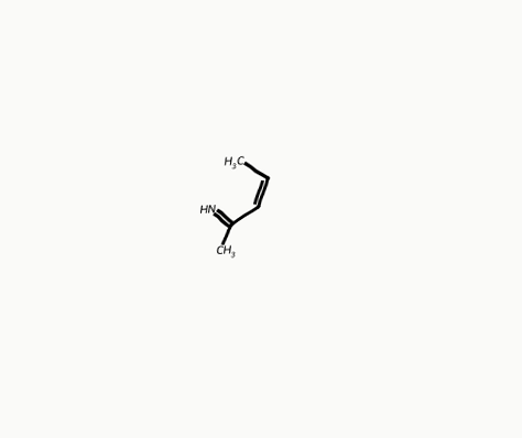 C/C=C\C(C)=N